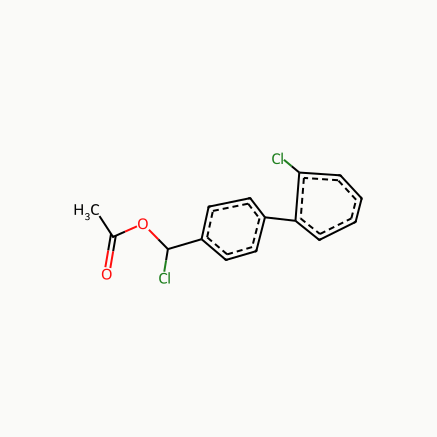 CC(=O)OC(Cl)c1ccc(-c2ccccc2Cl)cc1